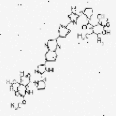 COC(=O)N[C@H](C(=O)N1CCC[C@H]1c1ncc(-c2ccc3nc(-c4ccc(-c5c[nH]c([C@@H]6CCCN6C(=O)[C@H](C(C)C)N(C)C(=O)O)n5)cc4)cnc3c2)[nH]1)C(C)(C)C